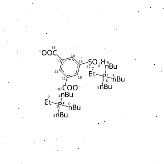 CCCC[P+](CC)(CCCC)CCCC.CCCC[P+](CC)(CCCC)CCCC.O=C([O-])c1cc(C(=O)[O-])cc(S(=O)(=O)O)c1